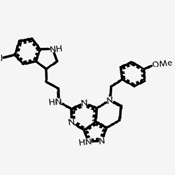 COc1ccc(CN2CCc3n[nH]c4nc(NCCC5CNc6ccc(Cl)cc65)nc2c34)cc1